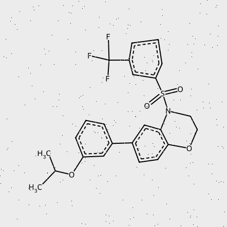 CC(C)Oc1cccc(-c2ccc3c(c2)N(S(=O)(=O)c2cccc(C(F)(F)F)c2)CCO3)c1